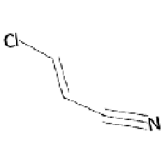 N#C/C=C/Cl